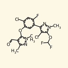 Cc1nn(C)c(Oc2cc(-c3nn(C)c(OC(F)F)c3Cl)c(F)cc2Cl)c1C=O